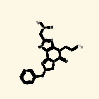 CCCN1C(=O)N2C[C@@H](Cc3ccccc3)N=C2c2[nH]c(CN(C)C)nc21